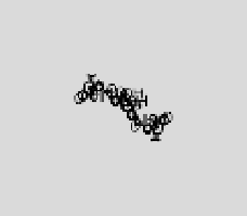 CC(C)Sc1ccc(C(=O)Nc2ccc(C=Cc3ccc(NC(=O)c4ccc(SC(C)C)c(S(=O)(=O)N5CCOCC5)c4)cc3S(=O)(=O)O)c(S(=O)(=O)O)c2)cc1S(=O)(=O)N1CCOCC1